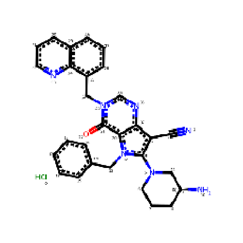 Cl.N#Cc1c(N2CCC[C@H](N)C2)n(Cc2ccccc2)c2c(=O)n(Cc3cccc4cccnc34)cnc12